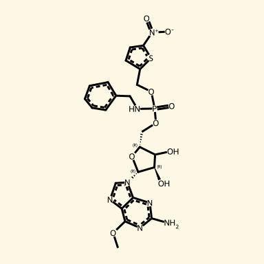 COc1nc(N)nc2c1ncn2[C@@H]1O[C@H](COP(=O)(NCc2ccccc2)OCc2ccc([N+](=O)[O-])s2)C(O)[C@H]1O